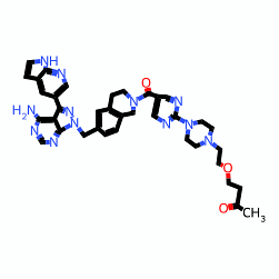 CC(=O)CCOCCN1CCN(c2ncc(C(=O)N3CCc4cc(Cn5nc(-c6cnc7[nH]ccc7c6)c6c(N)ncnc65)ccc4C3)cn2)CC1